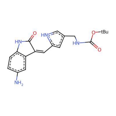 CC(C)(C)OC(=O)NCc1c[nH]c(C=C2C(=O)Nc3ccc(N)cc32)c1